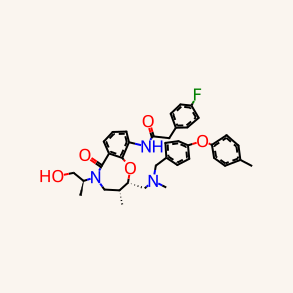 Cc1ccc(Oc2ccc(CN(C)C[C@H]3Oc4c(NC(=O)Cc5ccc(F)cc5)cccc4C(=O)N([C@@H](C)CO)C[C@H]3C)cc2)cc1